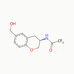 O=C(N[C@H]1COc2ccc(CO)cc2C1)C(F)(F)F